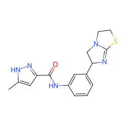 Cc1cc(C(=O)Nc2cccc(C3CN4CCSC4=N3)c2)n[nH]1